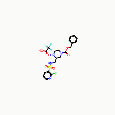 O=C(O)C(F)(F)F.O=C(OCc1ccccc1)N1CCNC(CNS(=O)(=O)c2cccnc2Cl)C1